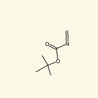 C=NC(=O)OC(C)(C)C